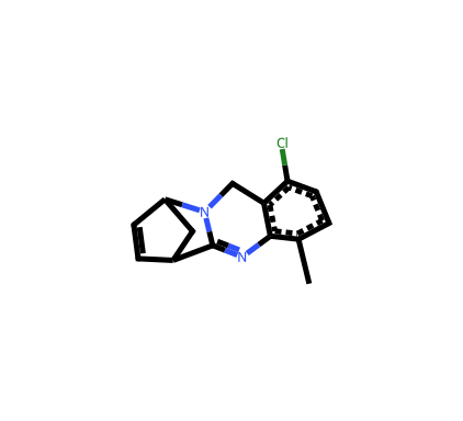 Cc1ccc(Cl)c2c1N=C1C3C=CC(C3)N1C2